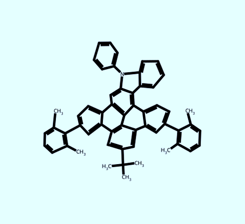 Cc1cccc(C)c1-c1ccc2c(c1)c1cc(C(C)(C)C)cc3c4cc(-c5c(C)cccc5C)ccc4c4c(c2cc2c4c4ccccc4n2-c2ccccc2)c13